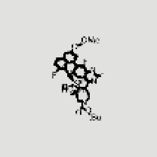 COCOc1cc(-c2c(F)cc3c(C4CCN(C(=O)OC(C)(C)C)CC(C)(O)C4)nc(F)nc3c2F)c2c(C#C[Si](C(C)C)(C(C)C)C(C)C)c(F)ccc2c1